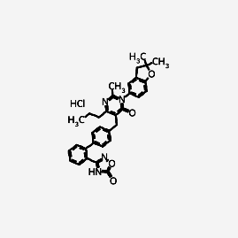 CCCc1nc(C)n(-c2ccc3c(c2)CC(C)(C)O3)c(=O)c1Cc1ccc(-c2ccccc2-c2noc(=O)[nH]2)cc1.Cl